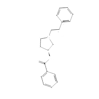 O=C(S[C@H]1CCN(C[C@@H](O)c2ccccc2)C1)c1ccccc1